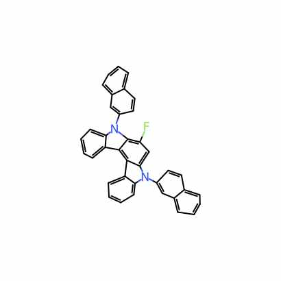 Fc1cc2c(c3ccccc3n2-c2ccc3ccccc3c2)c2c3ccccc3n(-c3ccc4ccccc4c3)c12